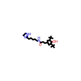 CC(C)(C)c1cc(CCC(=O)NCCCCCC2=NCCN2)cc(C(C)(C)C)c1O